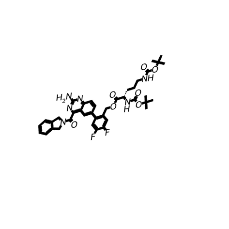 CC(C)(C)OC(=O)NCCC[C@H](NC(=O)OC(C)(C)C)C(=O)OCc1cc(F)c(F)cc1-c1ccc2nc(N)nc(C(=O)N3Cc4ccccc4C3)c2c1